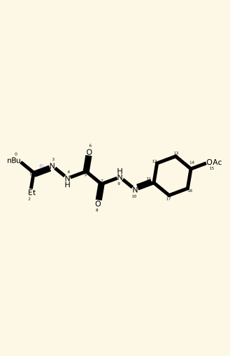 CCCC/C(CC)=N/NC(=O)C(=O)NN=C1CCC(OC(C)=O)CC1